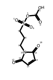 O=C(O)OS(=O)(=O)CCCN1C(=O)C=CC1=O